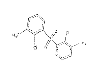 Cc1cccc(S(=O)(=O)c2cccc(C)c2Cl)c1Cl